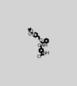 CC(C)(C)OC(=O)N1CCC(CCOCC(NC(=O)c2ccc3c(Cl)c[nH]c3c2)c2ccccc2)CC1